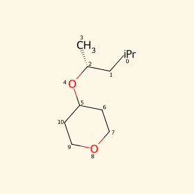 CC(C)C[C@@H](C)OC1CCOCC1